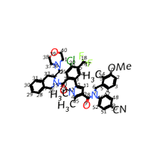 COc1cccc(CN(C(=O)c2cc(-c3cc(C(F)F)c(Cl)cc3C(=O)N3Cc4ccccc4C[C@H]3CN3CCOCC3)n(C)c2C)c2ccc(C#N)cc2)c1C